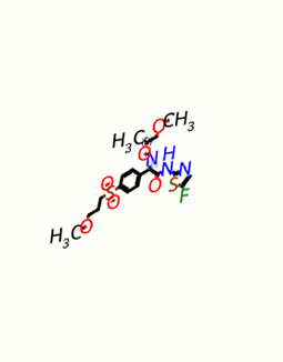 COCCCS(=O)(=O)c1ccc(/C(=N\O[C@H](C)COC)C(=O)Nc2ncc(F)s2)cc1